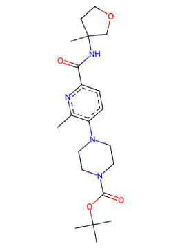 Cc1nc(C(=O)NC2(C)CCOC2)ccc1N1CCN(C(=O)OC(C)(C)C)CC1